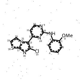 COc1ccccc1Nc1nccc(-c2c(Cl)nc3sccn23)n1